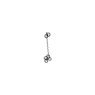 C=CC(=O)OCCCCCCCCCCCCCCCOc1ccccc1C([O])=O